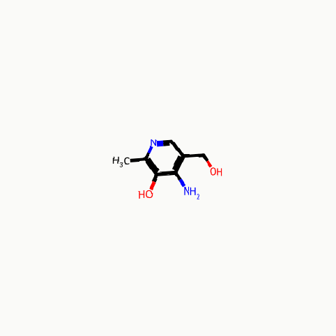 Cc1ncc(CO)c(N)c1O